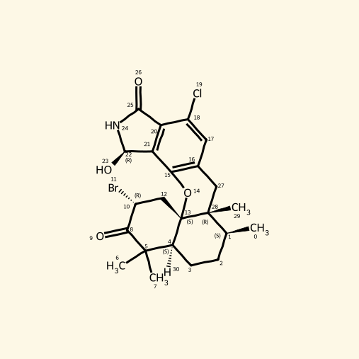 C[C@H]1CC[C@H]2C(C)(C)C(=O)[C@H](Br)C[C@]23Oc2c(cc(Cl)c4c2[C@@H](O)NC4=O)C[C@]13C